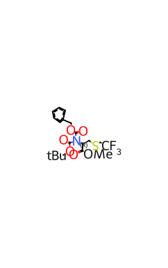 COC(=O)[C@H](CSCC(F)(F)F)N(C(=O)OCc1ccccc1)C(=O)OC(C)(C)C